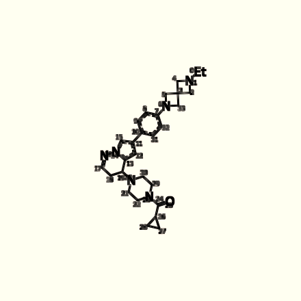 CCN1CC2(C1)CN(c1ccc(-c3cc4n(c3)N=CCC4N3CCN(C(=O)C4CC4)CC3)cc1)C2